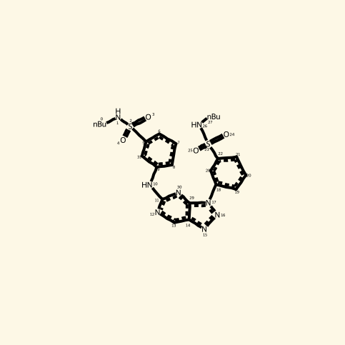 CCCCNS(=O)(=O)c1cccc(Nc2ncc3nnn(-c4cccc(S(=O)(=O)NCCCC)c4)c3n2)c1